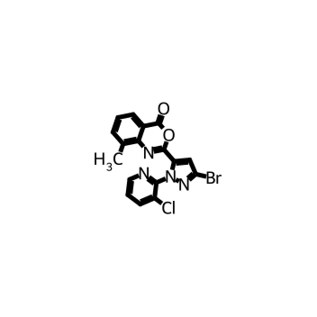 Cc1cccc2c(=O)oc(-c3cc(Br)nn3-c3ncccc3Cl)nc12